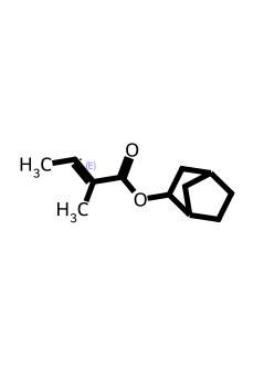 C/[C]=C(\C)C(=O)OC1CC2CCC1C2